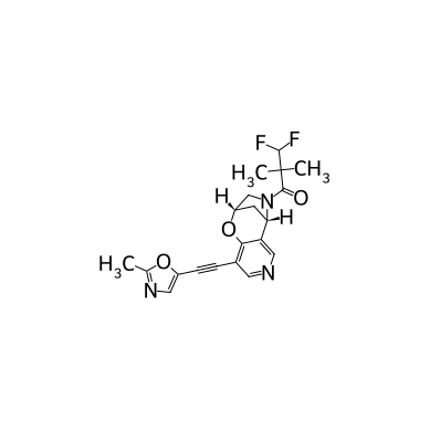 Cc1ncc(C#Cc2cncc3c2O[C@H]2C[C@@H]3N(C(=O)C(C)(C)C(F)F)C2)o1